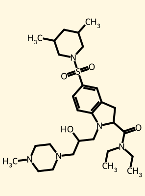 CCN(CC)C(=O)C1Cc2cc(S(=O)(=O)N3CC(C)CC(C)C3)ccc2N1CC(O)CN1CCN(C)CC1